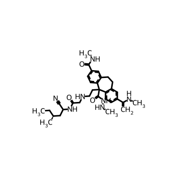 C=C(NC)c1ccc2c(c1)CCc1cc(C(=O)NC)ccc1C2(CCNCC(=O)NC(C#N)C[C@@H](C)CC)C(=O)NNC